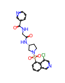 O=C(CNC(=O)c1cccnc1)N[C@@H]1CCN(S(=O)(=O)c2cccc3cncc(Cl)c23)C1